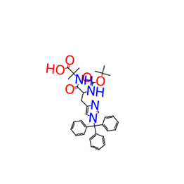 CC(C)(C)OC(=O)NC(Cc1cn(C(c2ccccc2)(c2ccccc2)c2ccccc2)cn1)C(=O)NC(C)(C)C(=O)O